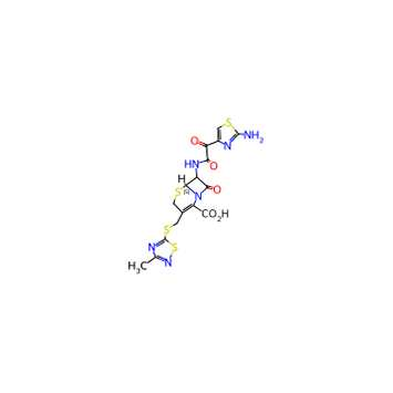 Cc1nsc(SCC2=C(C(=O)O)N3C(=O)C(NC(=O)C(=O)c4csc(N)n4)[C@@H]3SC2)n1